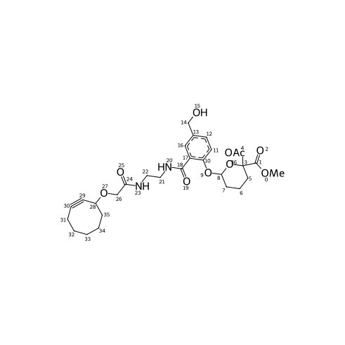 COC(=O)C1(OC(C)=O)CCCC(Oc2ccc(CO)cc2C(=O)NCCNC(=O)COC2C#CCCCCC2)O1